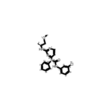 COC[C@H](C)Nc1nccc(N(C(=O)Nc2cccc(Cl)c2)c2ccccc2)n1